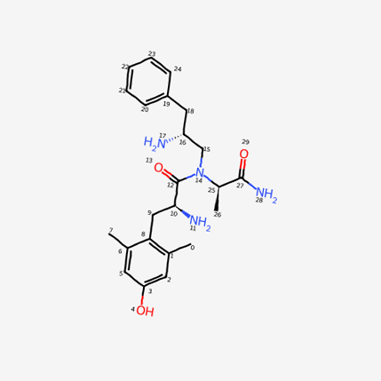 Cc1cc(O)cc(C)c1C[C@H](N)C(=O)N(C[C@H](N)Cc1ccccc1)[C@H](C)C(N)=O